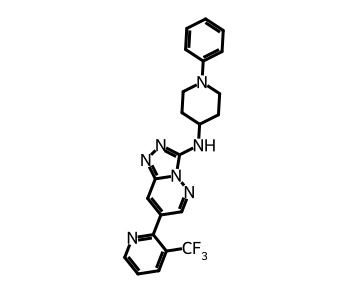 FC(F)(F)c1cccnc1-c1cnn2c(NC3CCN(c4ccccc4)CC3)nnc2c1